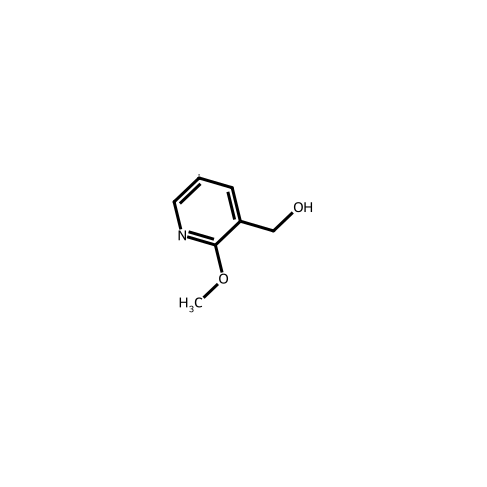 COc1nc[c]cc1CO